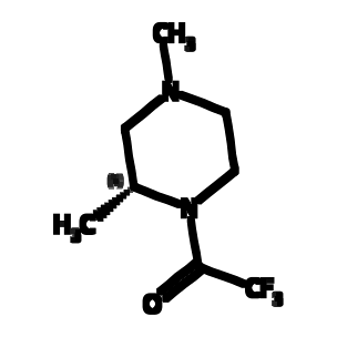 C[C@@H]1CN(C)CCN1C(=O)C(F)(F)F